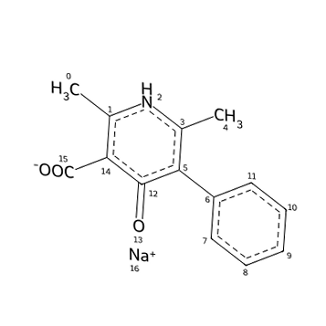 Cc1[nH]c(C)c(-c2ccccc2)c(=O)c1C(=O)[O-].[Na+]